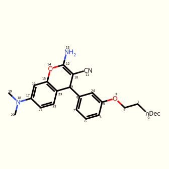 CCCCCCCCCCCCOc1cccc(C2C(C#N)=C(N)Oc3cc(N(C)C)ccc32)c1